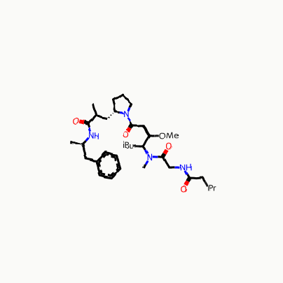 CCC(C)C(C(CC(=O)N1CCC[C@H]1CC(C)C(=O)N[C@H](C)Cc1ccccc1)OC)N(C)C(=O)CNC(=O)CC(C)C